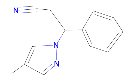 Cc1cnn(C(CC#N)c2ccccc2)c1